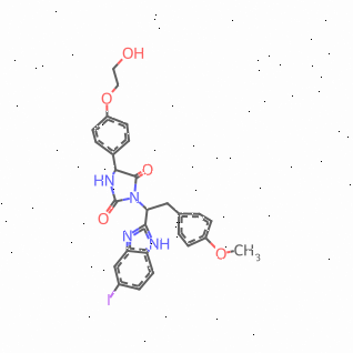 COc1ccc(CC(c2nc3cc(I)ccc3[nH]2)N2C(=O)NC(c3ccc(OCCO)cc3)C2=O)cc1